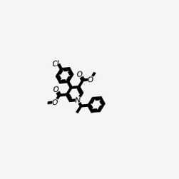 COC(=O)C1=CN(C(C)c2ccccc2)C=C(C(=O)OC)C1c1ccc(Cl)cc1